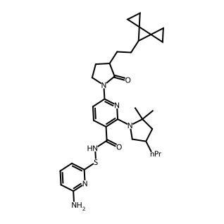 CCCC1CN(c2nc(N3CCC(CCC4C5(CC5)C45CC5)C3=O)ccc2C(=O)NSc2cccc(N)n2)C(C)(C)C1